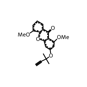 C#CC(C)(C)Oc1cc(OC)c2c(=O)c3cccc(OC)c3oc2c1